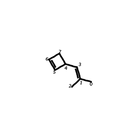 CC(C)=CC1C=CC1